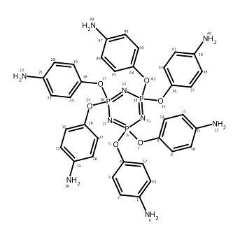 Nc1ccc(OP2(Oc3ccc(N)cc3)=NP(Oc3ccc(N)cc3)(Oc3ccc(N)cc3)=NP(Oc3ccc(N)cc3)(Oc3ccc(N)cc3)=N2)cc1